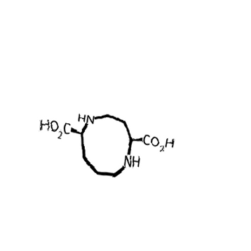 O=C(O)[C@@H]1CCCN[C@H](C(=O)O)CCN1